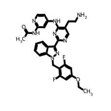 CCOc1cc(F)c(Cn2nc(-c3ncc(CCN)c(Nc4ccnc(NC(C)=O)c4)n3)c3ccccc32)c(F)c1